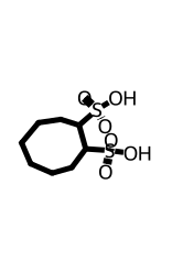 O=S(=O)(O)C1CCCCCCC1S(=O)(=O)O